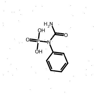 NC(=O)N(c1ccccc1)P(=O)(O)O